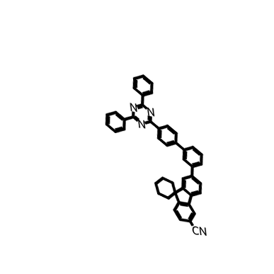 N#Cc1ccc2c(c1)-c1ccc(-c3cccc(-c4ccc(-c5nc(-c6ccccc6)nc(-c6ccccc6)n5)cc4)c3)cc1C21CCCCC1